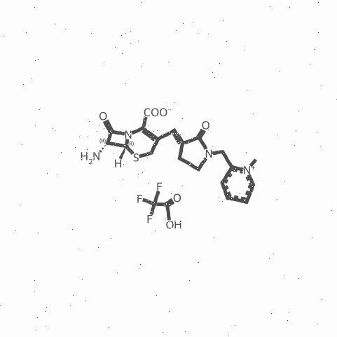 C[n+]1ccccc1CN1CCC(=CC2=C(C(=O)[O-])N3C(=O)[C@@H](N)[C@H]3SC2)C1=O.O=C(O)C(F)(F)F